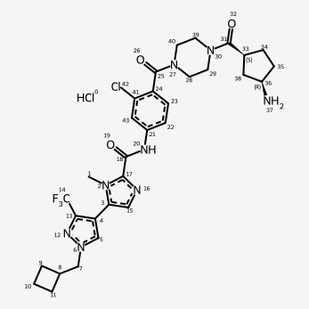 Cl.Cn1c(-c2cn(CC3CCC3)nc2C(F)(F)F)cnc1C(=O)Nc1ccc(C(=O)N2CCN(C(=O)[C@H]3CC[C@@H](N)C3)CC2)c(Cl)c1